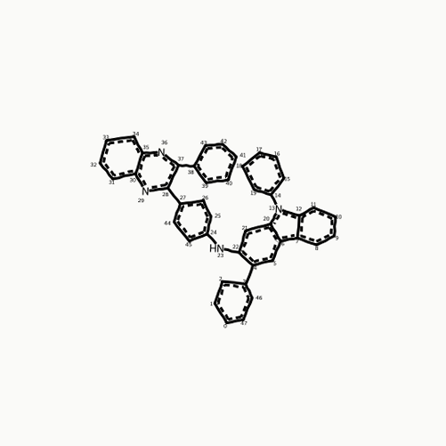 c1ccc(-c2cc3c4ccccc4n(-c4ccccc4)c3cc2Nc2ccc(-c3nc4ccccc4nc3-c3ccccc3)cc2)cc1